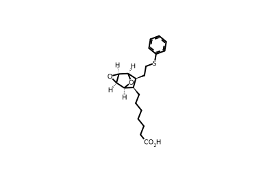 O=C(O)CCCCCC[C@@H]1[C@H](CCSc2ccccc2)[C@H]2O[C@@H]1[C@H]1O[C@H]12